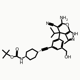 Cc1n[nH]c2c1C(c1cc(C#C[C@H]3CC[C@H](NC(=O)OC(C)(C)C)CC3)cc(CO)c1)(C(C)C)C(C#N)=C(N)O2